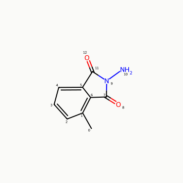 Cc1cccc2c1C(=O)N(N)C2=O